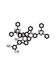 N#Cc1cc(C#N)cc(-c2ccc3c(c2)c2ccccc2n3-c2cc(-c3nc(-c4ccccc4)nc(-c4ccccc4)n3)ccc2-c2cccc(-c3ccc(-c4nc(-c5ccccc5)nc(-c5ccccc5)n4)cc3-n3c4ccccc4c4cc(-c5cc(C#N)cc(C#N)c5)ccc43)c2)c1